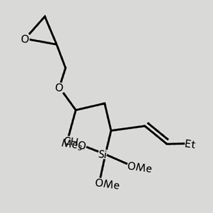 CCC=CC(CC(C)OCC1CO1)[Si](OC)(OC)OC